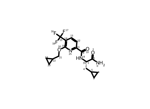 NC(=O)[C@H](CC1CC1)NC(=O)c1ccc(C(F)(F)F)c(OCC2CC2)n1